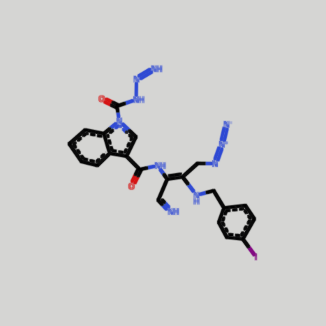 [N-]=[N+]=NC/C(NCc1ccc(I)cc1)=C(/C=N)NC(=O)c1cn(C(=O)NN=N)c2ccccc12